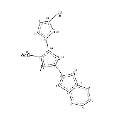 CC(=O)Oc1nc(-c2cc3ccccc3s2)sc1-c1ccc(Cl)s1